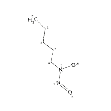 CCCCCN([O])N=O